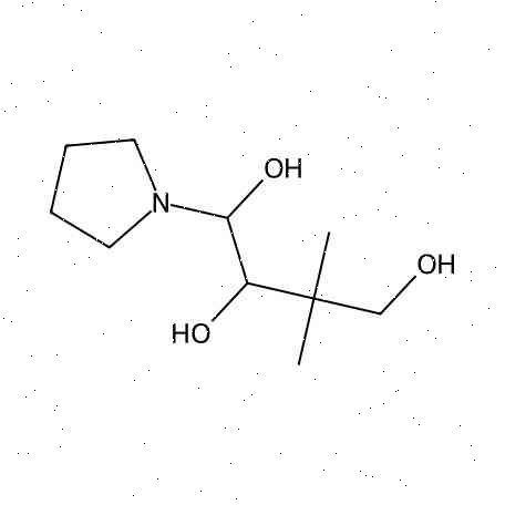 CC(C)(CO)C(O)C(O)N1CCCC1